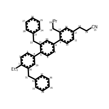 CCc1ccc(-c2ccc(-c3ccc(CCC#N)cc3CC(C)C)cc2Cc2ccccc2)cc1Cc1ccccc1